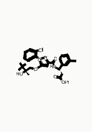 Cc1cccc([C@H](CC(=O)O)NC(=O)c2cc(OC[C@](C)(O)C(C)(C)C)n(-c3ccccc3Cl)n2)c1